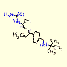 C=C/C(=C\C=C(/C)NC(=N)N)c1ccc(CNC(C)(C)C)cc1